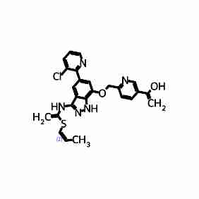 C=C(Nc1n[nH]c2c(OCc3ccc(C(=C)O)cn3)cc(-c3ncccc3Cl)cc12)S/C=C\C